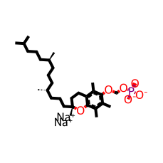 Cc1c(C)c2c(c(C)c1OCOP(=O)([O-])[O-])CC[C@@](C)(CCC[C@H](C)CCC[C@H](C)CCCC(C)C)O2.[Na+].[Na+]